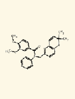 COc1ccc(C(=O)N(Cc2ccc3c(n2)C=CC(C)(C)O3)c2ccccc2)cc1OC